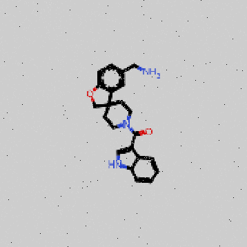 NCc1ccc2c(c1)C1(CCN(C(=O)C3=CNC4C=CC=CC34)CC1)CO2